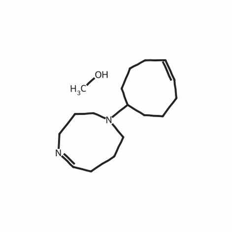 C1=CCCCC(N2CCCC=NCCC2)CCC1.CO